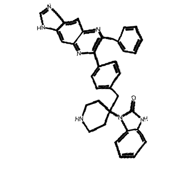 O=c1[nH]c2ccccc2n1C1(Cc2ccc(-c3nc4cc5[nH]cnc5cc4nc3-c3ccccc3)cc2)CCNCC1